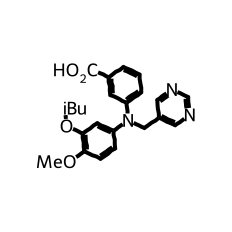 CCC(C)Oc1cc(N(Cc2cncnc2)c2cccc(C(=O)O)c2)ccc1OC